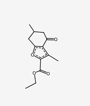 CCOC(=O)c1oc2c(c1C)C(=O)CC(C)C2